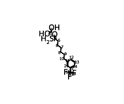 OC(O)O[SiH2]CCCCCCc1cccc(C(F)(F)F)c1